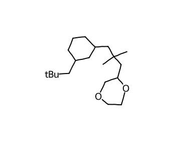 CC(C)(C)CC1CCCC(CC(C)(C)CC2COCCO2)C1